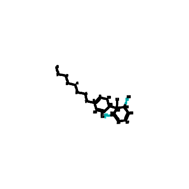 CCCCCCCCC1=CCC(C2(C)C(F)=CC=CC2F)C=C1